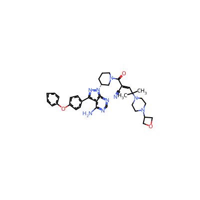 CC(C)(C=C(C#N)C(=O)N1CCC[C@@H](n2nc(-c3ccc(Oc4ccccc4)cc3)c3c(N)ncnc32)C1)N1CCN(C2COC2)CC1